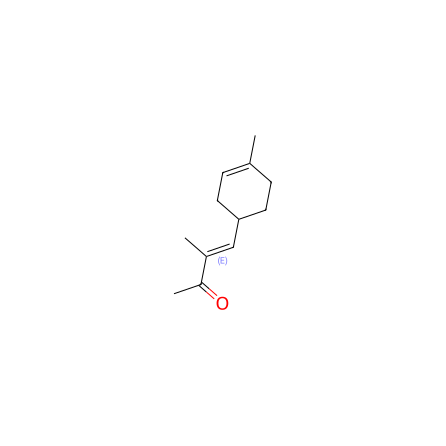 CC(=O)/C(C)=C/C1CC=C(C)CC1